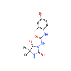 CCC1(C(C)C)NC(=O)N(NC(=O)Nc2ccc(Br)cc2F)C1=O